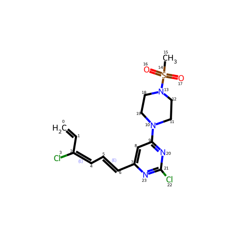 C=C/C(Cl)=C\C=C\c1cc(N2CCN(S(C)(=O)=O)CC2)nc(Cl)n1